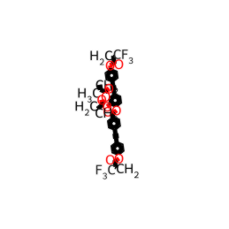 C=C(C)C(=O)Oc1c(C#Cc2ccc(OC(=O)C(=C)C(F)(F)F)cc2)ccc(OC(=O)c2ccc(C#Cc3ccc(OC(=O)C(=C)C(F)(F)F)cc3)cc2)c1OC(=O)C(=C)C